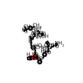 Cc1ncsc1-c1ccc([C@H](C)NC(=O)[C@@H]2C[C@@H](OP(=O)(O)O)CN2C(=O)[C@@H](c2cc(OCCN3CCN(CCOc4cc(N5C6CCC5CN(c5cc(-c7ccccc7OCc7ccc(NC(=O)[C@H](CCCNC(N)=O)NC(=O)C8(C(=O)O)CCC8)cc7)nnc5N)C6)ccn4)[C@H](C)C3)no2)C(C)C)cc1